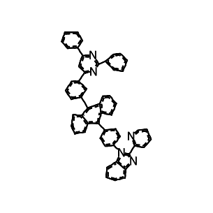 c1ccc(-c2cc(-c3cccc(-c4c5ccccc5c(-c5ccc(-n6c(-c7ccccn7)nc7ccccc76)cc5)c5ccccc45)c3)nc(-c3ccccc3)n2)cc1